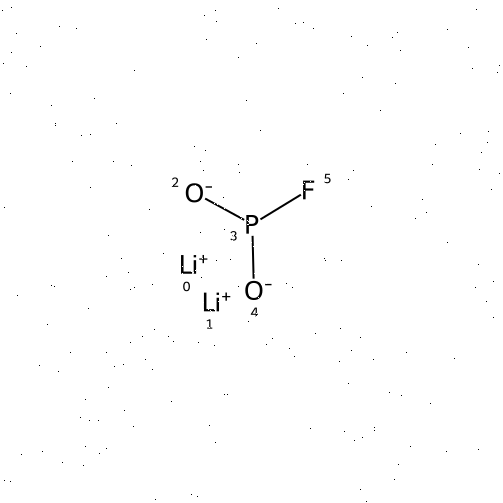 [Li+].[Li+].[O-]P([O-])F